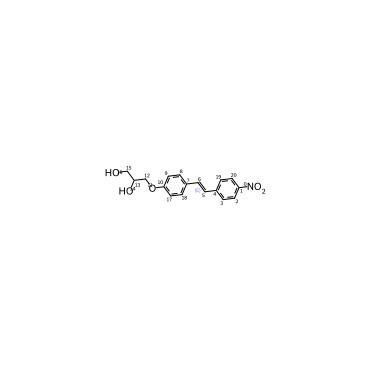 O=[N+]([O-])c1ccc(/C=C/c2ccc(OCC(O)CO)cc2)cc1